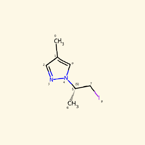 Cc1cnn([C@@H](C)CI)c1